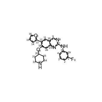 Fc1cccc(Nc2ncc3cc(-c4ccco4)c(OC4CCNCC4)cc3n2)c1